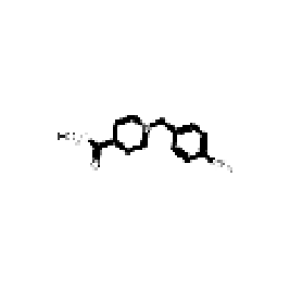 O=C(O)C(=O)C1CCN(Cc2ccc(C(F)(F)F)cc2)CC1